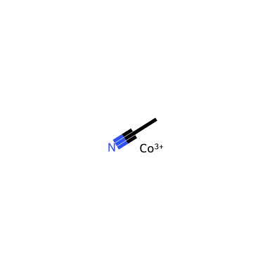 CC#N.[Co+3]